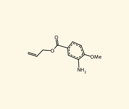 C=CCOC(=O)c1ccc(OC)c(N)c1